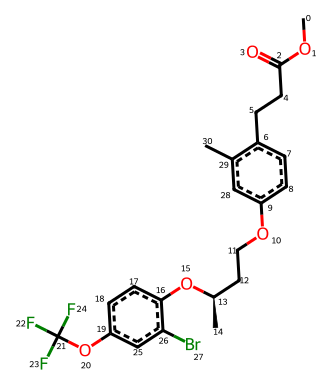 COC(=O)CCc1ccc(OCC[C@@H](C)Oc2ccc(OC(F)(F)F)cc2Br)cc1C